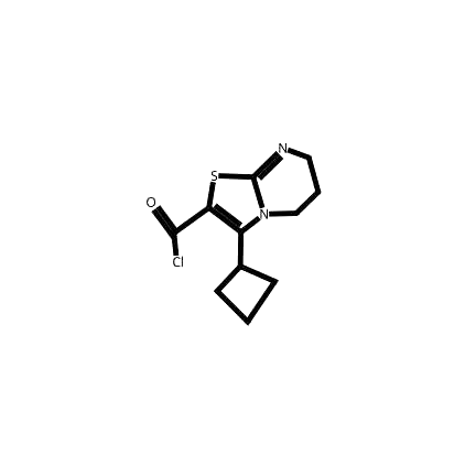 O=C(Cl)C1=C(C2CCC2)N2CCCN=C2S1